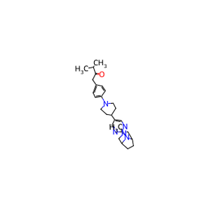 CC(C)C(=O)Cc1ccc(N2CCC(c3cnc(N4C5CCC4CN(C)C5)nc3)CC2)cc1